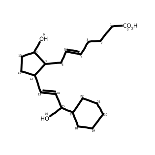 O=C(O)CCCC=CCC1C(O)CCC1C=CC(O)C1CCCCC1